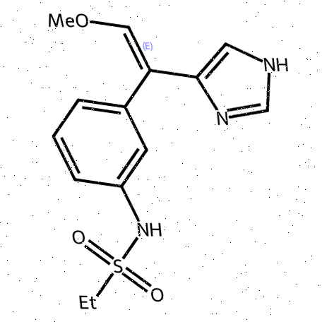 CCS(=O)(=O)Nc1cccc(/C(=C\OC)c2c[nH]cn2)c1